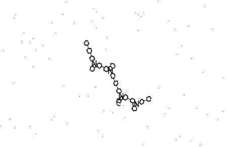 c1ccc(-c2ccc(-c3ccc(-n4c5ccccc5c5cc(-c6ccc7c(c6)c6ccccc6n7-c6ccc(-c7ccc(-c8ccc(-n9c%10ccccc%10c%10cc(-c%11ccc%12c(c%11)c%11ccccc%11n%12-c%11ccc(-c%12ccccc%12)cc%11)ccc%109)cc8)cc7)cc6)ccc54)cc3)cc2)cc1